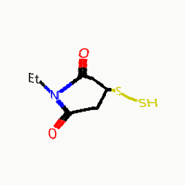 CCN1C(=O)CC(SS)C1=O